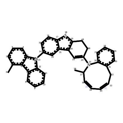 Cc1cccc2c1c1ccccc1n2-c1ccc2sc3c(c2c1)C=C(N1c2ccccc2C/C=C\C=C/C1C)CC3